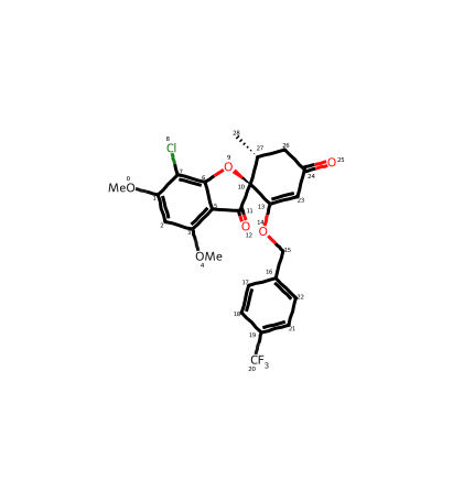 COc1cc(OC)c2c(c1Cl)O[C@]1(C2=O)C(OCc2ccc(C(F)(F)F)cc2)=CC(=O)C[C@H]1C